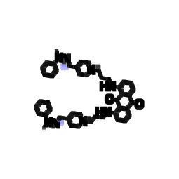 CN(/N=C/c1cc[n+](CCCNc2cccc3c2C(=O)c2c(NCCC[n+]4ccc(/C=N/N(C)c5ccccc5)cc4)cccc2C3=O)cc1)c1ccccc1